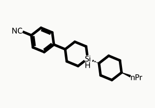 CCC[C@H]1CC[C@H]([SiH]2CCC(c3ccc(C#N)cc3)CC2)CC1